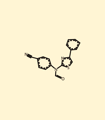 N#Cc1ccc(N(C=O)c2nc(-c3ccccc3)cs2)cc1